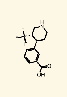 O=C(O)c1cccc([C@@H]2CCNC[C@H]2C(F)(F)F)c1